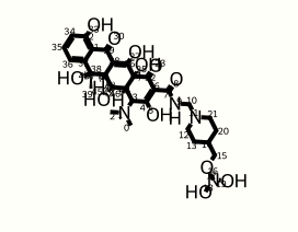 CN(C)C1C(O)=C(C(=O)NCN2CCC(CON(O)O)CC2)C(=O)[C@@]2(O)C(O)=C3C(=O)c4c(O)cccc4[C@@](C)(O)[C@H]3[C@H](O)[C@@H]12